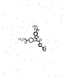 C=CC(=O)N1CCC[C@@H](n2c(NC(=O)c3ccc(-c4cnco4)s3)nc3cc(C(F)(F)CO)ccc32)CC1